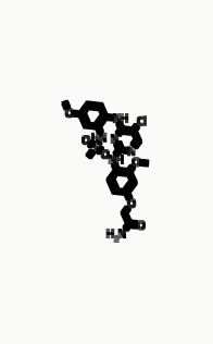 COc1ccc(Nc2nc(Nc3ccc(OCC(N)=O)cc3OC)ncc2Cl)c(NS(C)(=O)=O)c1